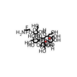 NCC(F)(F)CO[C@H]1OC(CO)[C@@H](O)C(O[C@H]2OC(CO)[C@@H](O)C(O[C@H]3OC(CO)[C@@H](O)C(O)C3O[C@@H](O)C(O[C@H]3OC(CO)[C@@H](O)C(O)C3O)C(O)[C@H](O)CCO)C2O)C1O